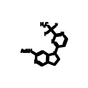 CC(=O)Nc1cc2c(cn1)CCN2c1ccnc(C(C)(F)F)n1